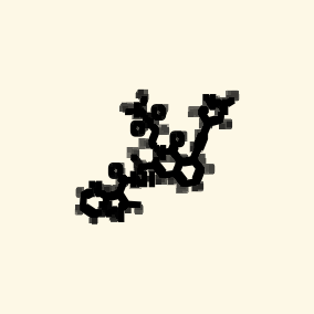 Cc1nn2cccnc2c1C(=O)N[C@@H](C)c1cc2cccc(C#Cc3cnn(C)c3)c2c(=O)n1CCS(=O)(=O)N(C)C